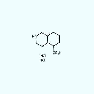 Cl.Cl.O=C(O)C1CCCC2CNCCC21